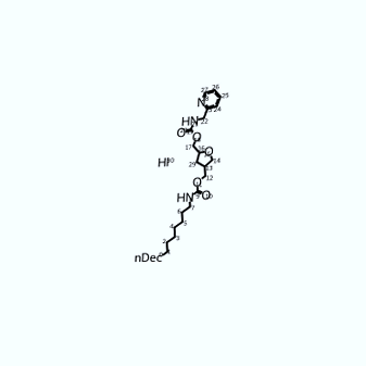 CCCCCCCCCCCCCCCCCNC(=O)OCC1COC(COC(=O)NCc2ccccn2)C1.I